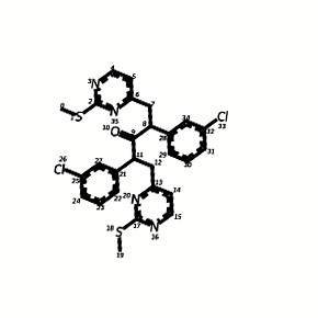 CSc1nccc(CC(C(=O)C(Cc2ccnc(SC)n2)c2cccc(Cl)c2)c2cccc(Cl)c2)n1